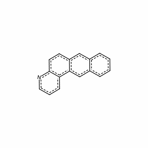 c1ccc2cc3c(ccc4ncccc43)cc2c1